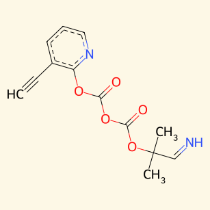 C#Cc1cccnc1OC(=O)OC(=O)OC(C)(C)C=N